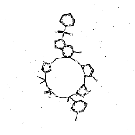 Cn1nc2nc1-c1cc(ccc1F)Oc1c(F)cc3c(ccn3S(=O)(=O)c3ccccc3)c1Cn1cc(cn1)C(C)(C)CS(=O)(=O)CCC2(C)c1cccc(Br)c1